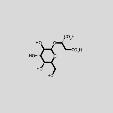 O=C(O)C[C@H](O[C@H]1OC(CO)[C@@H](O)[C@H](O)C1O)C(=O)O